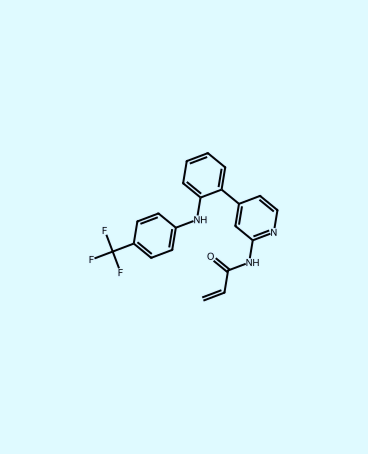 C=CC(=O)Nc1cc(-c2ccccc2Nc2ccc(C(F)(F)F)cc2)ccn1